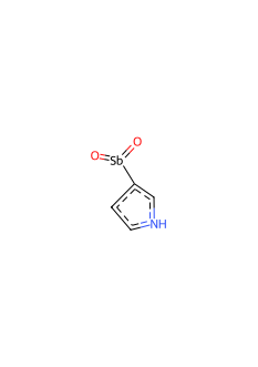 [O]=[Sb](=[O])[c]1cc[nH]c1